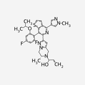 C=CC(O)N1Cc2cc(-c3nc(-c4cnn(C)c4)c4ccsc4c3-c3c(F)cc(F)cc3OC(C)C)nn2C[C@H]1C